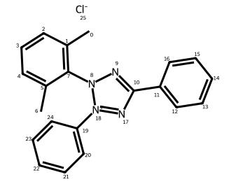 Cc1cccc(C)c1-n1nc(-c2ccccc2)n[n+]1-c1ccccc1.[Cl-]